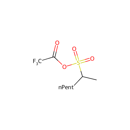 CCCCCC(C)S(=O)(=O)OC(=O)C(F)(F)F